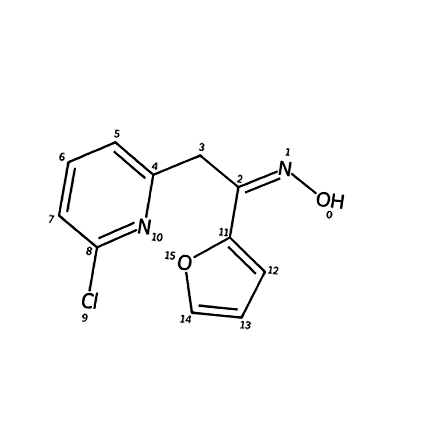 O/N=C(/Cc1cccc(Cl)n1)c1ccco1